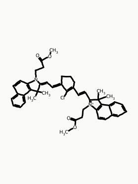 COC(=O)CCN1/C(=C/C=C2\CCCC(/C=C/C3=[N+](CCC(=O)OC)c4ccc5ccccc5c4C3(C)C)=C2Cl)C(C)(C)c2c1ccc1ccccc21